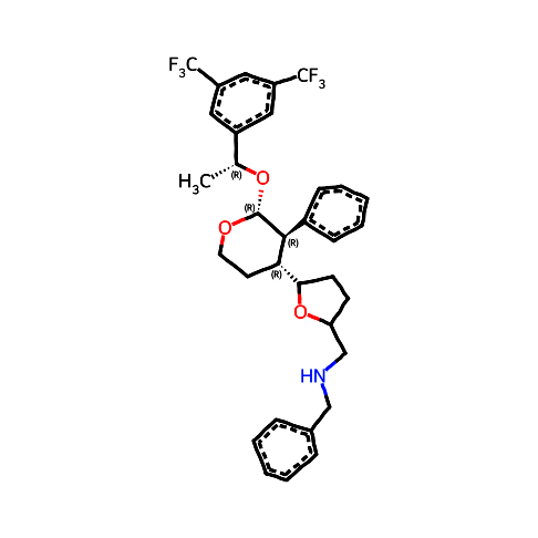 C[C@@H](O[C@H]1OCC[C@@H](C2CCC(CNCc3ccccc3)O2)[C@@H]1c1ccccc1)c1cc(C(F)(F)F)cc(C(F)(F)F)c1